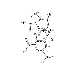 O=[N+]([O-])c1cc([N+](=O)[O-])c(Nc2c(Br)cc(Br)c(Cl)c2C(F)(F)F)c(C(F)(F)F)c1